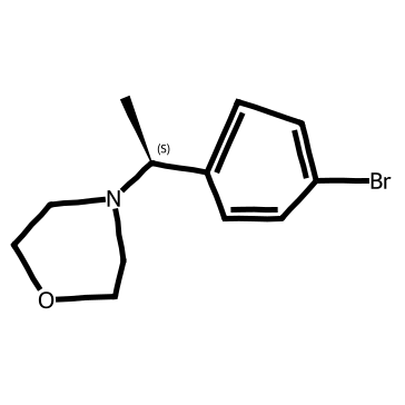 C[C@@H](c1ccc(Br)cc1)N1CCOCC1